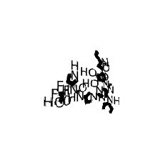 CCc1cc([C@H]2O[C@@H](n3cnc4c(NC(CC)CC)nc(N5CCC(NC(=O)N[C@@H]6CCNC6)C5)nc43)[C@@H](O)[C@H]2O)on1.O=C(O)C(F)(F)F